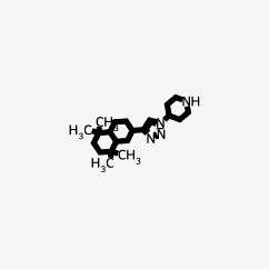 CC1(C)CCC(C)(C)C2CC(c3cn(C4CCNCC4)nn3)CCC21